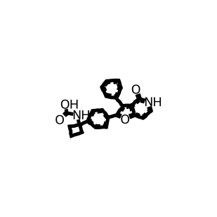 O=C(O)NC1(c2ccc(-c3oc4cc[nH]c(=O)c4c3-c3ccccc3)cc2)CCC1